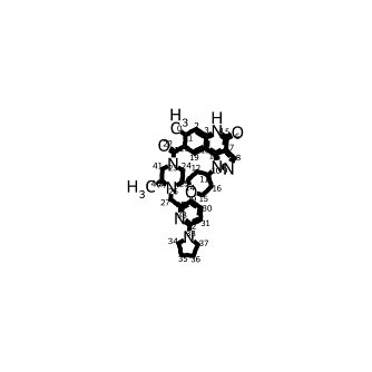 CC1C=c2[nH]c(=O)c3cnn(C4CCOCC4)c3c2=CC1C(=O)N1CCN(Cc2cccc(N3CCCC3)n2)[C@@H](C)C1